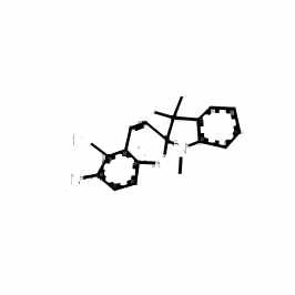 CN1c2ccccc2C(C)(C)C12C=Cc1c(ccc([N+](=O)[O-])c1Br)O2